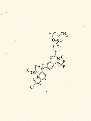 CO[C@@H](C)c1c(Nc2ccc([C@H](N(C)C(=O)C3CCN(S(=O)(=O)C(C)C)CC3)C(F)(F)F)cc2)cnc2nc(Cl)nn12